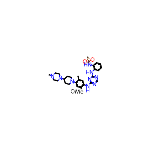 COc1cc(N2CCC(N3CCN(C)CC3)CC2)c(C)cc1Nc1ncnc(Nc2ccccc2NS(C)(=O)=O)n1